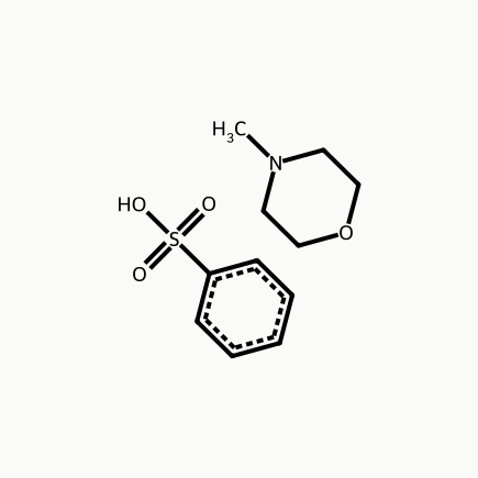 CN1CCOCC1.O=S(=O)(O)c1ccccc1